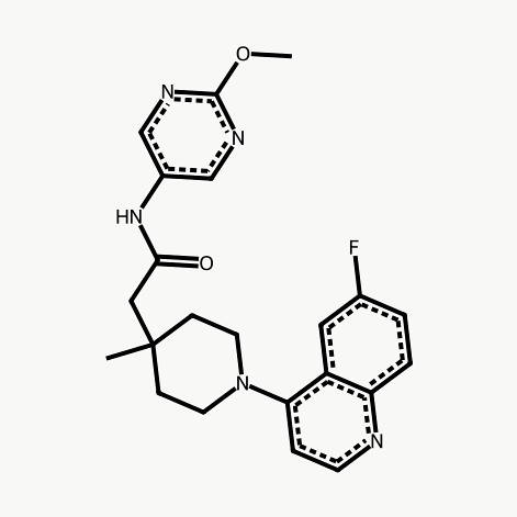 COc1ncc(NC(=O)CC2(C)CCN(c3ccnc4ccc(F)cc34)CC2)cn1